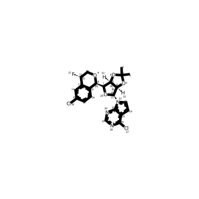 CC1(C)O[C@@H]2[C@H](O1)C([C@@H]1OC[C@@H](F)c3cc(Cl)ccc31)O[C@H]2n1ccc2c(Cl)ncnc21